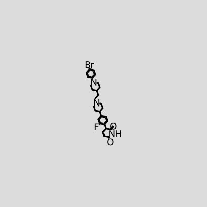 O=C1CCC(c2ccc(C3CCN(CCC4CCN(c5ccc(Br)cc5)CC4)CC3)cc2F)C(=O)N1